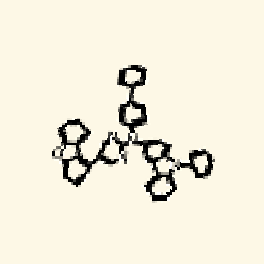 c1ccc(-c2ccc(N(c3ccc4c(c3)c3ccccc3n4-c3ccccc3)c3ncc(-c4cccc5oc6ccccc6c45)cn3)cc2)cc1